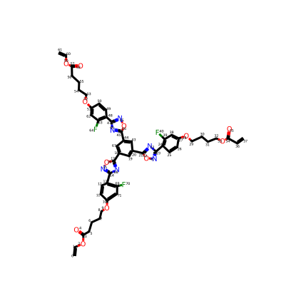 C=COC(=O)CCCCOc1ccc(-c2noc(-c3cc(-c4nc(-c5ccc(OCCCCOC(=O)C=C)cc5F)no4)cc(-c4nc(-c5ccc(OCCCCC(=O)OC=C)cc5F)no4)c3)n2)c(F)c1